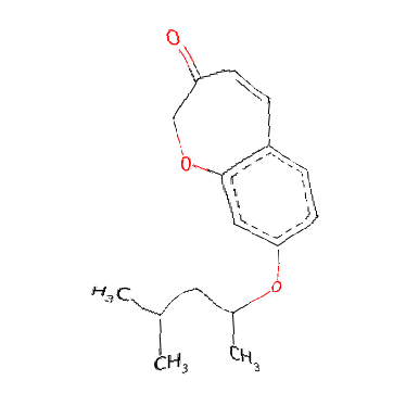 CC(C)CC(C)Oc1ccc2c(c1)OCC(=O)C=C2